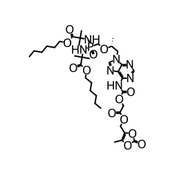 CCCCCCOC(=O)C(C)(C)NP(=O)(CO[C@H](C)Cn1cnc2c(NC(=O)OCC(=O)OCc3oc(=O)oc3C)ncnc21)NC(C)(C)C(=O)OCCCCCC